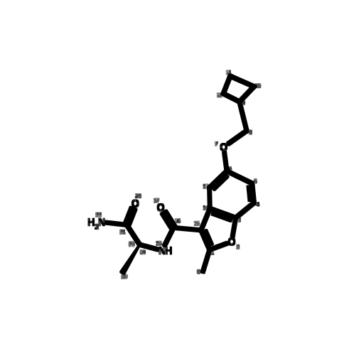 Cc1oc2ccc(OCC3CCC3)cc2c1C(=O)N[C@@H](C)C(N)=O